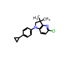 CC1(C)CN(c2ccc(C3CC3)cc2)c2ccc(Cl)nc21